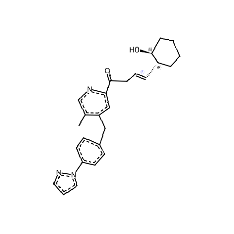 Cc1cnc(C(=O)C/C=C/[C@H]2CCCC[C@@H]2O)cc1Cc1ccc(-n2cccn2)cc1